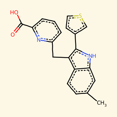 Cc1ccc2c(Cc3cccc(C(=O)O)n3)c(-c3ccsc3)[nH]c2c1